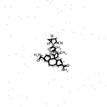 Cc1nnc(C2(C[C@H](C)NCC(=O)N3[C@H](C#N)C[C@@H]4C[C@@H]43)c3ccc(C(N)=O)cc3CCc3cc(C(N)=O)ccc32)o1